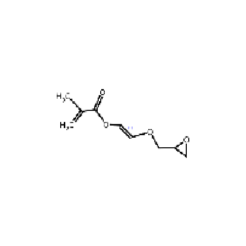 C=C(C)C(=O)O/C=[C]/OCC1CO1